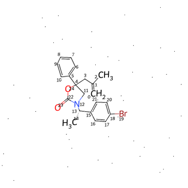 C=C(C)CC1(c2ccccc2)CN([C@@H](C)c2ccc(Br)cc2)C(=O)O1